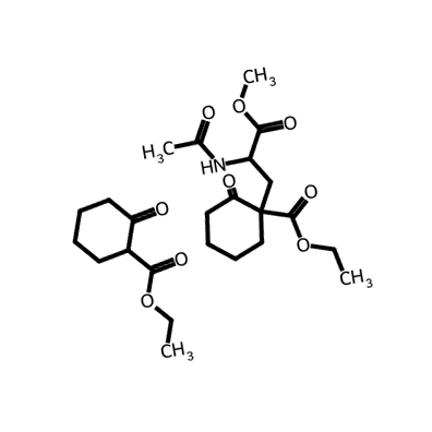 CCOC(=O)C1(CC(NC(C)=O)C(=O)OC)CCCCC1=O.CCOC(=O)C1CCCCC1=O